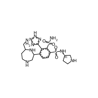 NCC1CCNCC(c2ccc(S(=O)(=O)N[C@@H]3CCNC3)c(S(N)(=O)=O)c2-c2nn[nH]n2)N1